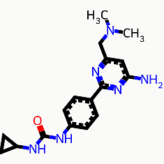 CN(C)Cc1cc(N)nc(-c2ccc(NC(=O)NC3CC3)cc2)n1